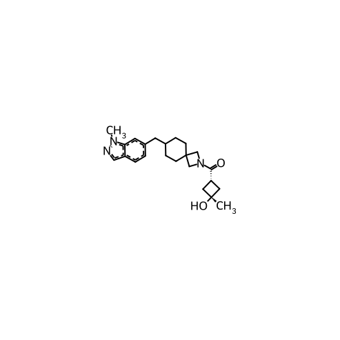 Cn1ncc2ccc(CC3CCC4(CC3)CN(C(=O)[C@H]3C[C@@](C)(O)C3)C4)cc21